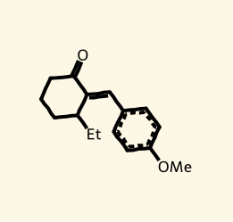 CCC1CCCC(=O)C1=Cc1ccc(OC)cc1